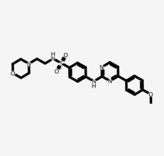 COc1ccc(-c2ccnc(Nc3ccc(S(=O)(=O)NCCN4CCOCC4)cc3)n2)cc1